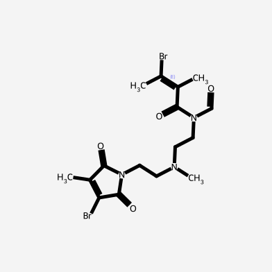 CC1=C(Br)C(=O)N(CCN(C)CCN(C=O)C(=O)/C(C)=C(\C)Br)C1=O